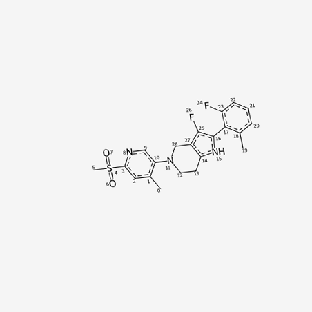 Cc1cc(S(C)(=O)=O)ncc1N1CCc2[nH]c(-c3c(C)cccc3F)c(F)c2C1